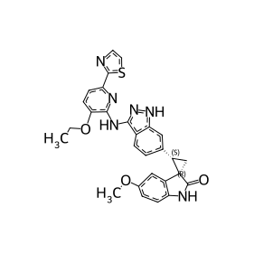 CCOc1ccc(-c2nccs2)nc1Nc1n[nH]c2cc([C@@H]3C[C@@]34C(=O)Nc3ccc(OC)cc34)ccc12